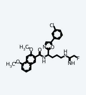 COc1cc2c(OC)cccc2cc1C(=O)NC(CCCNC(=N)CF)c1ncc(-c2cccc(Cl)c2)o1